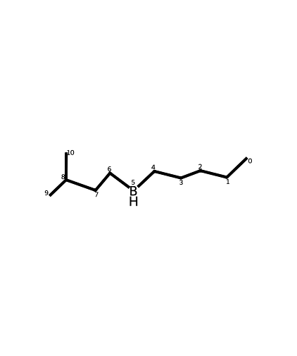 CCCCCBCCC(C)C